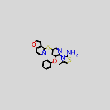 CC1=CSC(N)N1c1ncc(Sc2nccc3occc23)cc1Oc1ccccc1